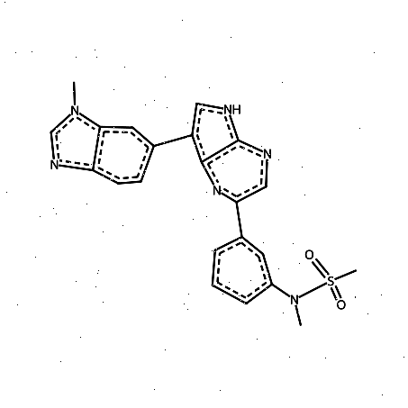 CN(c1cccc(-c2cnc3[nH]cc(-c4ccc5ncn(C)c5c4)c3n2)c1)S(C)(=O)=O